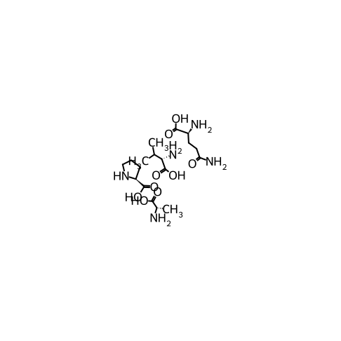 CC(C)[C@H](N)C(=O)O.C[C@H](N)C(=O)O.NC(=O)CC[C@H](N)C(=O)O.O=C(O)[C@@H]1CCCN1